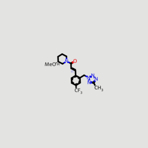 CO[C@@H]1CCCN(C(=O)/C=C/c2ccc(C(F)(F)F)cc2Cn2nnc(C)n2)C1